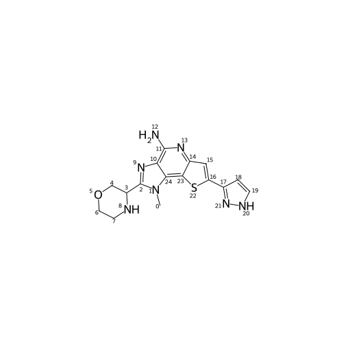 Cn1c(C2COCCN2)nc2c(N)nc3cc(-c4cc[nH]n4)sc3c21